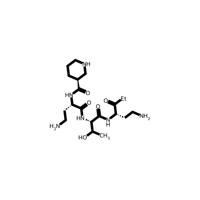 CCC(=O)[C@H](CCN)NC(=O)[C@@H](NC(=O)[C@H](CCN)NC(=O)[C@H]1CCCNC1)C(C)O